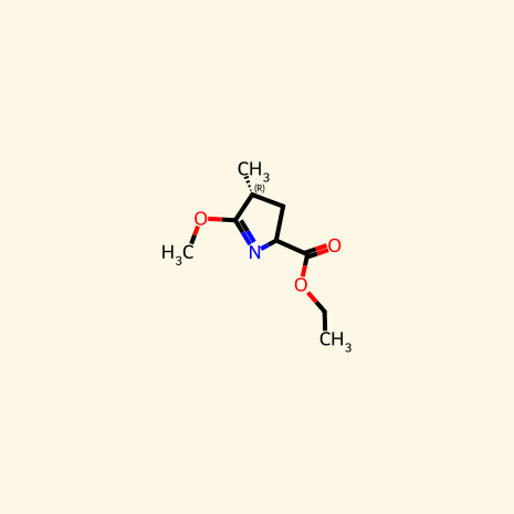 CCOC(=O)C1C[C@@H](C)C(OC)=N1